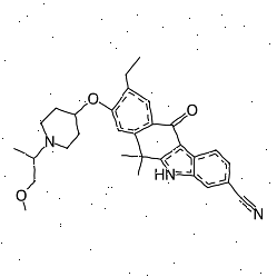 CCc1cc2c(cc1OC1CCN(C(C)COC)CC1)C(C)(C)c1[nH]c3cc(C#N)ccc3c1C2=O